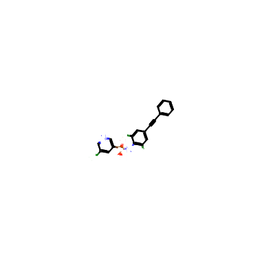 O=S(=O)(Nc1c(F)cc(C#Cc2ccccc2)cc1F)c1cncc(Cl)c1